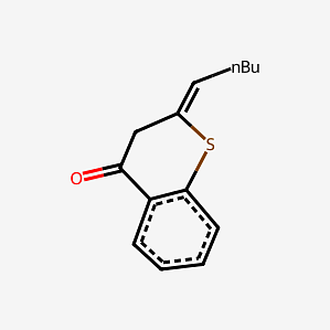 CCCCC=C1CC(=O)c2ccccc2S1